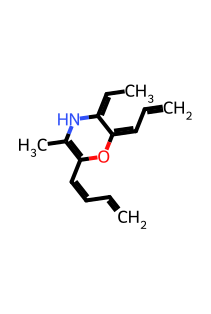 C=C/C=C\C1=C(C)NC(=C/C)/C(=C\C=C)O1